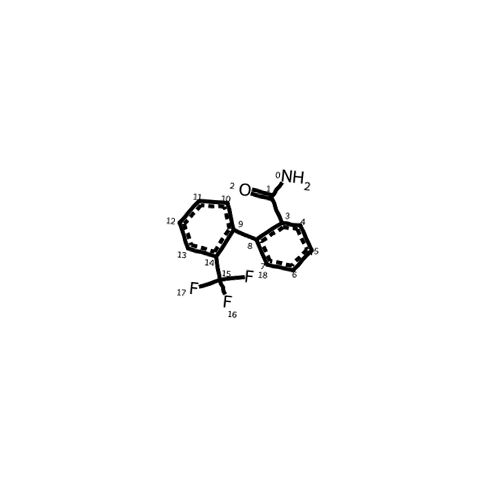 NC(=O)c1c[c]ccc1-c1ccccc1C(F)(F)F